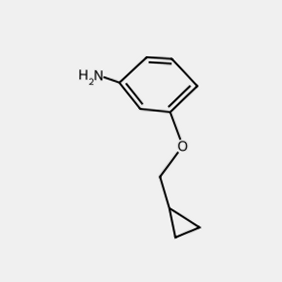 Nc1cccc(OCC2CC2)c1